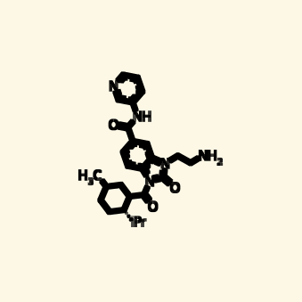 CC1CC[C@@H](C(C)C)C(C(=O)n2c(=O)n(CCN)c3cc(C(=O)Nc4cccnc4)ccc32)C1